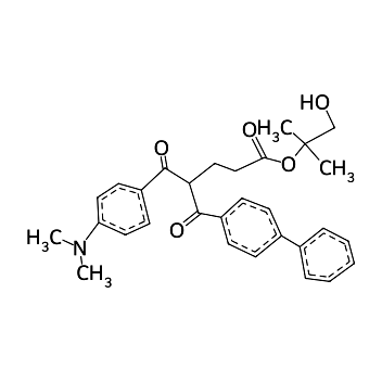 CN(C)c1ccc(C(=O)C(CCC(=O)OC(C)(C)CO)C(=O)c2ccc(-c3ccccc3)cc2)cc1